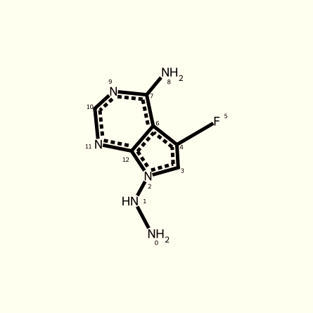 NNn1cc(F)c2c(N)ncnc21